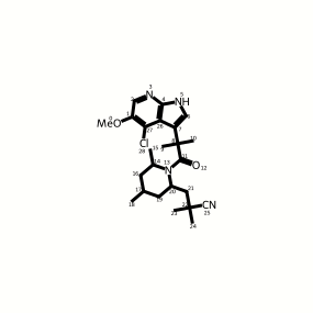 COc1cnc2[nH]cc(C(C)(C)C(=O)N3C(C)CC(C)CC3CC(C)(C)C#N)c2c1Cl